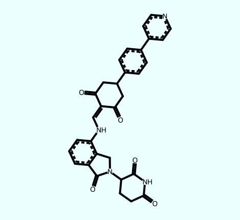 O=C1CCC(N2Cc3c(NC=C4C(=O)CC(c5ccc(-c6ccncc6)cc5)CC4=O)cccc3C2=O)C(=O)N1